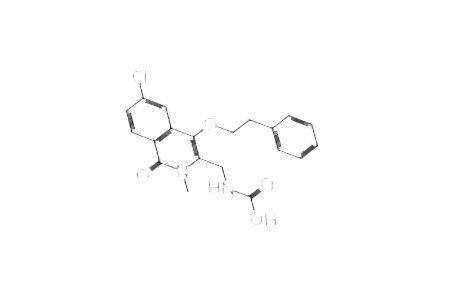 Cn1c(CNC(=O)O)c(OCCc2ccccc2)c2cc(Cl)ccc2c1=O